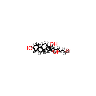 C[C@]12CC[C@@H]3c4ccc(O)cc4CC[C@H]3[C@@H]1C[C@@](CO)(CCCCCCBr)[C@@H]2O